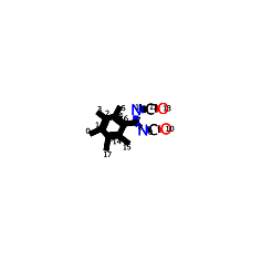 Cc1c(C)c(C)c(C(N=C=O)N=C=O)c(C)c1C